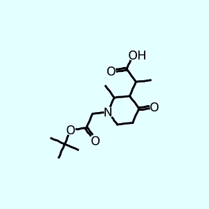 CC(C(=O)O)C1C(=O)CCN(CC(=O)OC(C)(C)C)C1C